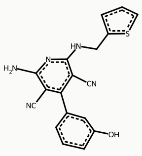 N#Cc1c(N)nc(NCc2cccs2)c(C#N)c1-c1cccc(O)c1